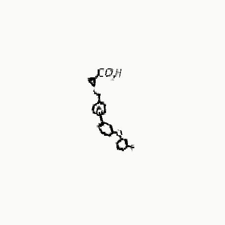 O=C(O)[C@@H]1C[C@H]1CCC12CCC(c3cccc(Oc4cccc(F)c4)c3)(CC1)OC2